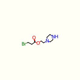 O=C(CCBr)OCCN1CCNCC1